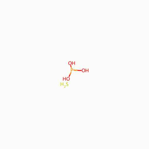 OP(O)O.S